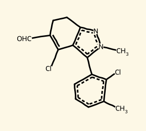 Cc1cccc(-c2c3c(nn2C)CCC(C=O)=C3Cl)c1Cl